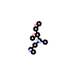 c1ccc(-c2cc(-c3ccc(-c4ccc5oc6ccccc6c5c4)c4oc5ccccc5c34)nc(-c3ccc(-c4ccnc5ccccc45)cc3)n2)cc1